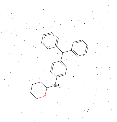 c1ccc(C(c2ccccc2)c2ccc([SiH2]C3CCCCO3)cc2)cc1